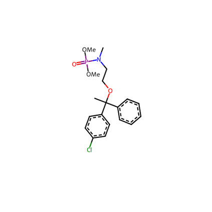 COP(=O)(OC)N(C)CCOC(C)(c1ccccc1)c1ccc(Cl)cc1